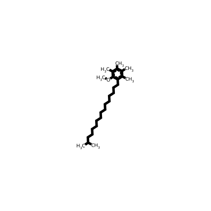 COc1c(C)c(C)c(C)c(C)c1CCCCCCCCCCCCCCC(C)C